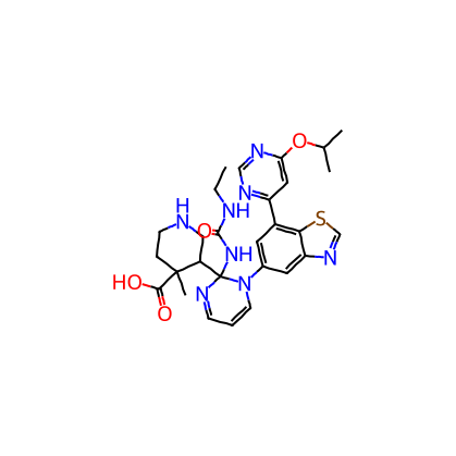 CCNC(=O)NC1(C2CNCCC2(C)C(=O)O)N=CC=CN1c1cc(-c2cc(OC(C)C)ncn2)c2scnc2c1